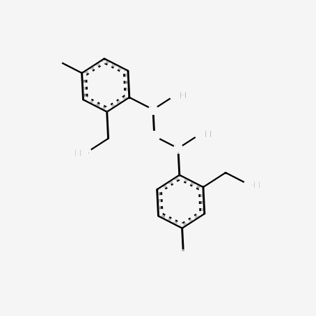 OCc1cc(F)ccc1B(O)OB(O)c1ccc(F)cc1CO